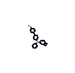 CC(C)c1ccc(-c2ccc(N(c3ccccc3)c3ccc4c(c3)CC4)cc2)cc1